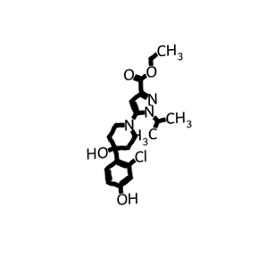 CCOC(=O)c1cc(N2CCC(O)(c3ccc(O)cc3Cl)CC2)n(C(C)C)n1